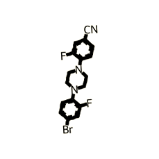 N#Cc1ccc(N2CCN(c3ccc(Br)cc3F)CC2)c(F)c1